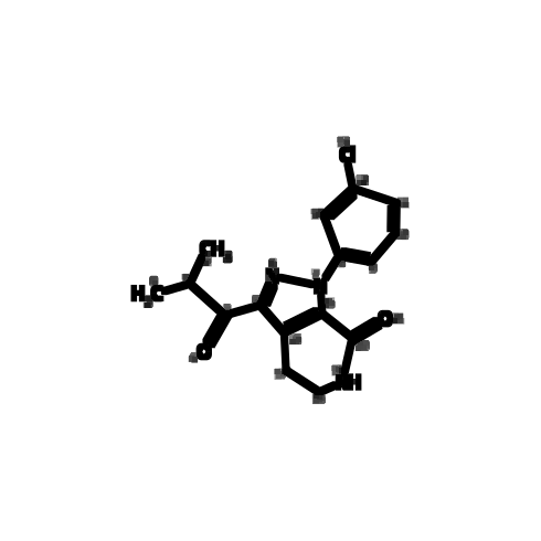 CC(C)C(=O)c1nn(-c2cccc(Cl)c2)c2c1CCNC2=O